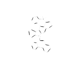 CC1(C)c2ccccc2-c2c3c1cccc3cc1c2c2ccccc2n1-c1cc2ccccc2c2ccccc12